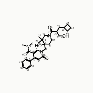 CN(C)C(=O)c1cn(CC2(O)CCN(C(=O)C(CO)CC3CCC3)CC2(C)C)c(=O)cc1-c1ccccc1